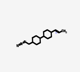 C/C=C/C1CCC(C2CCC(CN=[N+]=[N-])CC2)CC1